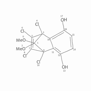 COC1(OC)C2(Cl)C(Cl)=C(Cl)C1(Cl)c1c(O)ccc(O)c12